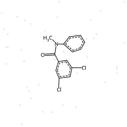 CN(C(=O)c1cc(Cl)cc(Cl)c1)c1ccccc1